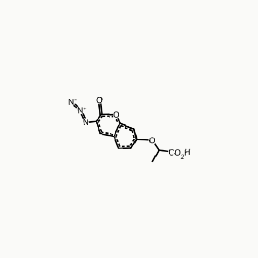 CC(Oc1ccc2cc(N=[N+]=[N-])c(=O)oc2c1)C(=O)O